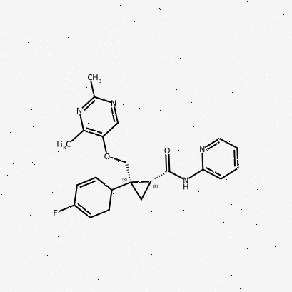 Cc1ncc(OC[C@@]2(C3C=CC(F)=CC3)C[C@H]2C(=O)Nc2ccccn2)c(C)n1